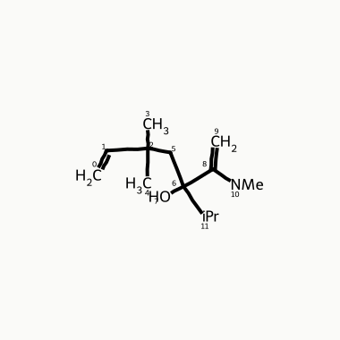 C=CC(C)(C)CC(O)(C(=C)NC)C(C)C